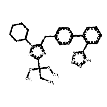 CCC(OC)(OC)c1nc(Cc2ccc(-c3ccccc3-c3nnn[nH]3)cc2)n(C2CCCCC2)n1